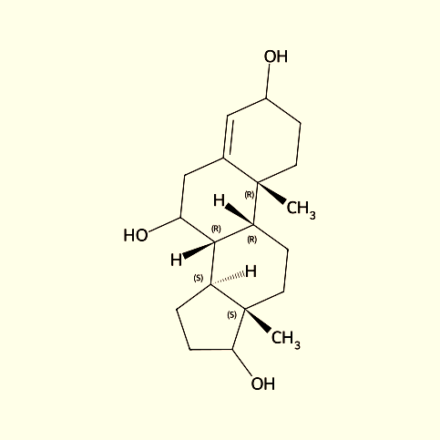 C[C@]12CCC(O)C=C1CC(O)[C@@H]1[C@H]2CC[C@]2(C)C(O)CC[C@@H]12